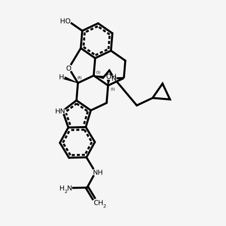 C=C(N)Nc1ccc2[nH]c3c(c2c1)C[C@@]1(O)C2Cc4ccc(O)c5c4[C@@]1(CCN2CC1CC1)[C@H]3O5